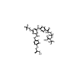 C=C(CCl)COc1ccc(CNc2nc(Nc3ccc(C(=O)NCC(C)(C)CN(C(=O)O)C(C)(C)C)cc3)nc(OCC(F)(F)F)n2)cc1